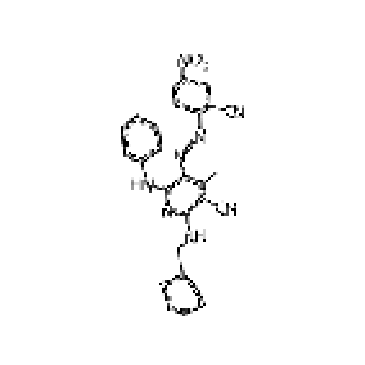 Cc1c(C#N)c(NCc2ccccc2)nc(Nc2ccccc2)c1/N=N/c1ccc([N+](=O)[O-])cc1C#N